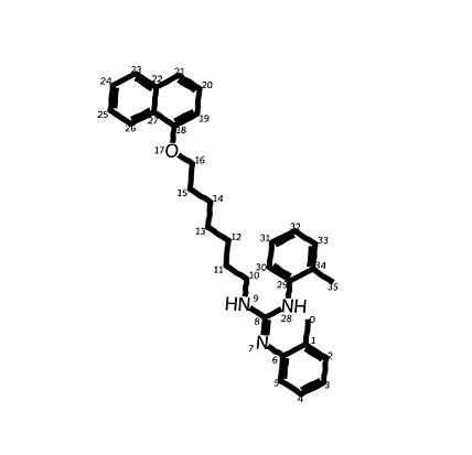 Cc1ccccc1/N=C(/NCCCCCCCOc1cccc2ccccc12)Nc1ccccc1C